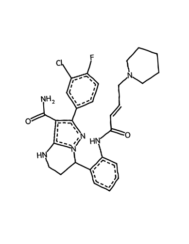 NC(=O)c1c(-c2ccc(F)c(Cl)c2)nn2c1NCCC2c1ccccc1NC(=O)C=CCN1CCCCC1